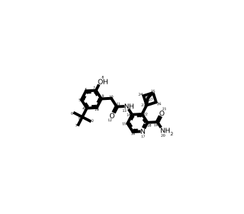 CC(C)(C)c1ccc(O)c(CC(=O)Nc2ccnc(C(N)=O)c2C23CC(C2)C3)c1